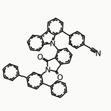 N#Cc1ccc(-c2cccc3c4ccccc4n(-c4cccc5c4C(=O)N(c4cc(-c6ccccc6)ccc4-c4ccccc4)C5=O)c23)cc1